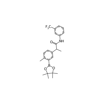 Cc1ccc(C(C)C(=O)Nc2cccc(C(F)(F)F)c2)cc1B1OC(C)(C)C(C)(C)O1